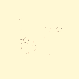 CCN(Cc1ccc(OC)cc1)c1nc(Nc2cc(C#N)cc(N3CC[C@@H](NC(=O)OC)[C@H](OC(=O)C(C)OP(=O)(OCc4ccccc4)OCc4ccccc4)C3)c2Cl)nn2c(C#N)cnc12